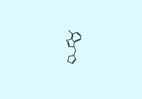 Cc1cccc2c1ncn2CN1C=CCC1